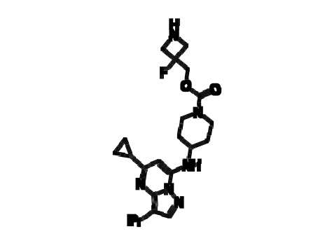 CC(C)c1cnn2c(NC3CCN(C(=O)OCC4(F)CNC4)CC3)cc(C3CC3)nc12